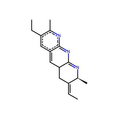 C/C=C1/CC2C=c3cc(CC)c(C)nc3=NC2=N[C@H]1C